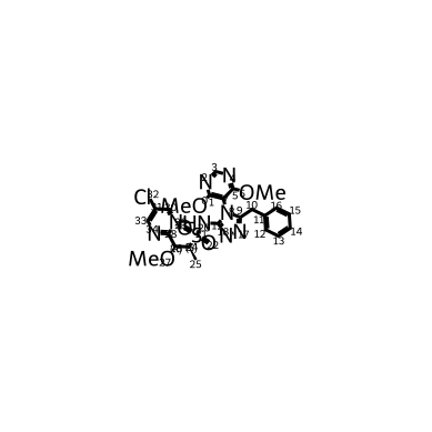 COc1ncnc(OC)c1-n1c(Cc2ccccc2)nnc1NS(=O)(=O)[C@@H](C)[C@H](OC)c1ncc(Cl)cn1